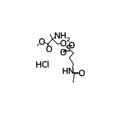 COC(=O)C(C)(N)COS(=O)(=O)CCCNC(C)=O.Cl